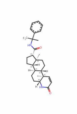 CC(NC(=O)[C@H]1CC[C@H]2[C@@H]3CC[C@H]4NC(=O)C=C[C@]4(C)[C@H]3CC[C@]12C)(c1ccccc1)C(F)(F)F